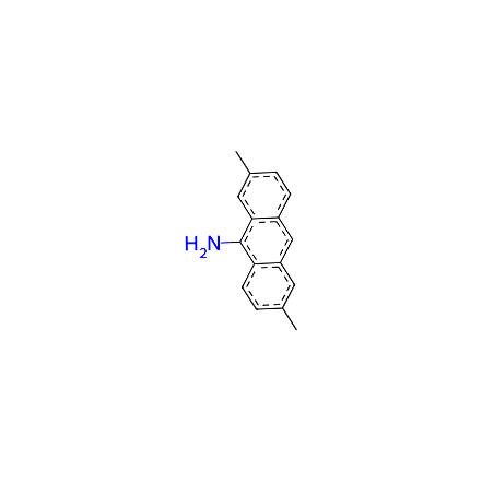 Cc1ccc2c(N)c3cc(C)ccc3cc2c1